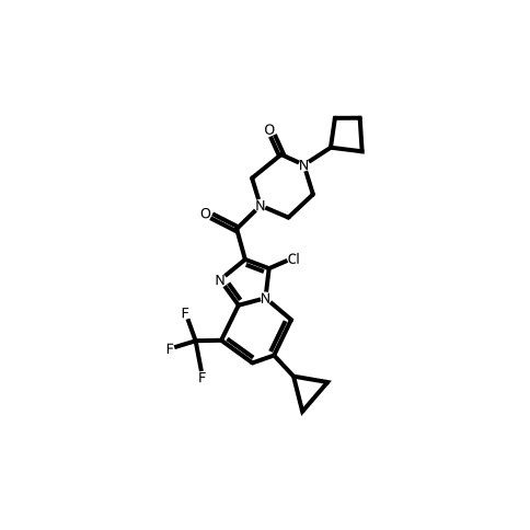 O=C(c1nc2c(C(F)(F)F)cc(C3CC3)cn2c1Cl)N1CCN(C2CCC2)C(=O)C1